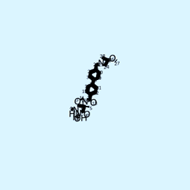 CNC(=O)[C@@](C)(C(=O)NO)N(C)C(=O)c1ccc(-c2ccc(CN3CC(OC)C3)cc2)cc1